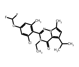 CCn1c(-c2c(C)cc(OC(F)F)cc2Cl)nn2c(C)cc(C(C)C)c2c1=O